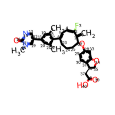 C=C1/C(F)=C\C=C(\c2c(C)cc(-c3cnc(=O)n(C)c3)cc2C)CCC[C@H]1Oc1ccc2c(c1)OC[C@H]2CC(=O)O